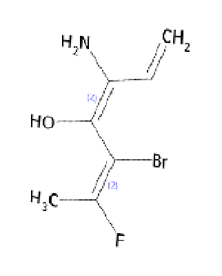 C=C/C(N)=C(O)\C(Br)=C(/C)F